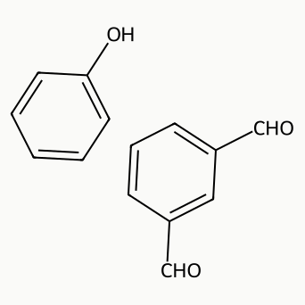 O=Cc1cccc(C=O)c1.Oc1ccccc1